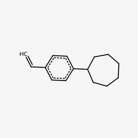 [CH]=Cc1ccc(C2CCCCCC2)cc1